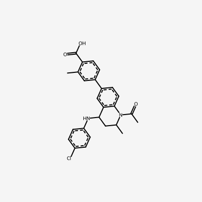 CC(=O)N1c2ccc(-c3ccc(C(=O)O)c(C)c3)cc2C(Nc2ccc(Cl)cc2)CC1C